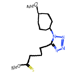 COC(=S)CCCc1nnnn1C1CCC(OC)CC1